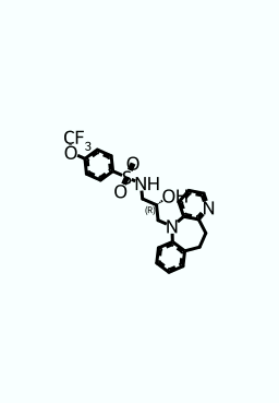 O=S(=O)(NC[C@H](O)CN1c2ccccc2CCc2ncccc21)c1ccc(OC(F)(F)F)cc1